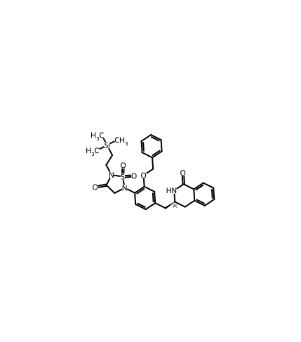 C[Si](C)(C)CCN1C(=O)CN(c2ccc(C[C@@H]3Cc4ccccc4C(=O)N3)cc2OCc2ccccc2)S1(=O)=O